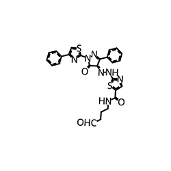 O=CCCCNC(=O)c1cnc(N/N=C2/C(=O)N(c3nc(-c4ccccc4)cs3)N=C2c2ccccc2)s1